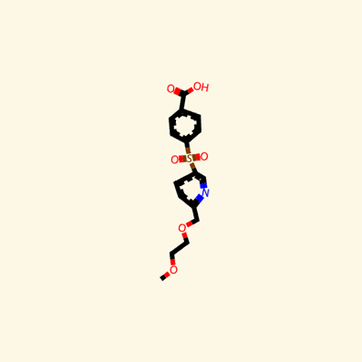 COCCOCc1ccc(S(=O)(=O)c2ccc(C(=O)O)cc2)cn1